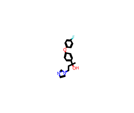 CC(O)(CCn1ccnc1)c1ccc(Oc2ccc(F)cc2)cc1